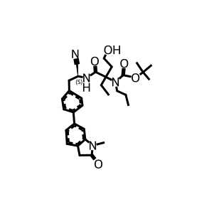 CCCN(C(=O)OC(C)(C)C)C(CC)(CCO)C(=O)N[C@H](C#N)Cc1ccc(-c2ccc3c(c2)N(C)C(=O)C3)cc1